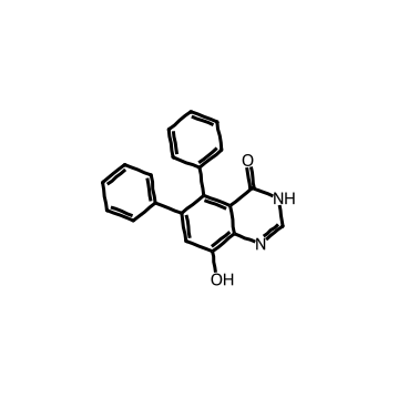 O=c1[nH]cnc2c(O)cc(-c3ccccc3)c(-c3ccccc3)c12